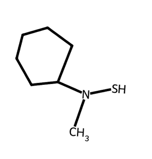 CN(S)C1CCCCC1